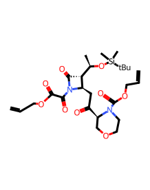 C=CCOC(=O)C(=O)N1C(=O)[C@H]([C@@H](C)O[Si](C)(C)C(C)(C)C)[C@H]1CC(=O)[C@@H]1COCCN1C(=O)OCC=C